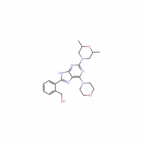 CC1CN(c2nc(N3CCOCC3)c3nc(-c4ccccc4CO)[nH]c3n2)CC(C)O1